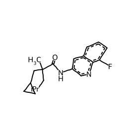 CC(C)CC(C)(CC1CC1)C(=O)Nc1cnc2c(F)cccc2c1